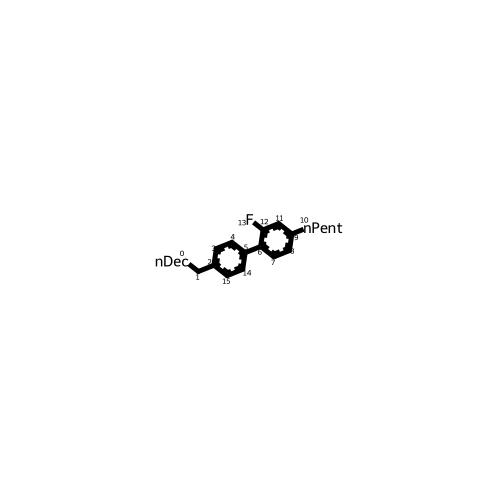 CCCCCCCCCCCc1ccc(-c2ccc(CCCCC)cc2F)cc1